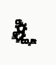 CCOC(=O)C1=Cc2ccc(Cl)cc2OCC1